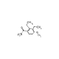 CCc1c(OC)ccc(C(N)=O)c1CC